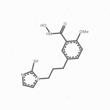 COc1ccc(CCCn2ccnc2S)cc1C(=O)NO